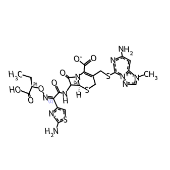 CC[C@@H](O/N=C(\C(=O)NC1C(=O)N2C(C(=O)[O-])=C(CSc3nc(N)cc4n(C)cn[n+]34)CS[C@@H]12)c1csc(N)n1)C(=O)O